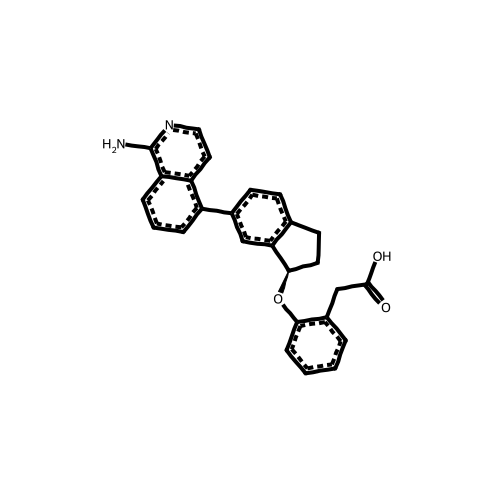 Nc1nccc2c(-c3ccc4c(c3)[C@H](Oc3ccccc3CC(=O)O)CC4)cccc12